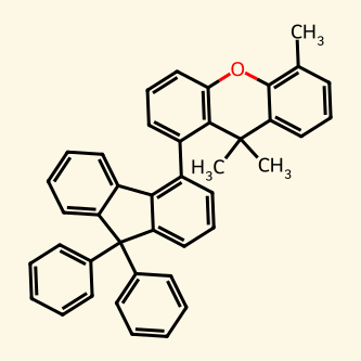 Cc1cccc2c1Oc1cccc(-c3cccc4c3-c3ccccc3C4(c3ccccc3)c3ccccc3)c1C2(C)C